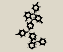 Cc1ccc(N(c2ccc3c(c2)Oc2cccc4c2B3c2cc(C)ccc2N4c2ccc(C)cc2)c2ccc3c(c2)c2ccccc2n3-c2ccccc2)cc1